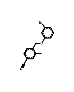 N#Cc1ccc(COc2cccc(Br)c2)c(I)c1